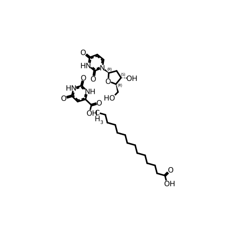 CCCCCCCCCCCCCC(=O)O.O=C(O)c1cc(=O)[nH]c(=O)[nH]1.O=c1ccn([C@H]2C[C@H](O)[C@@H](CO)O2)c(=O)[nH]1